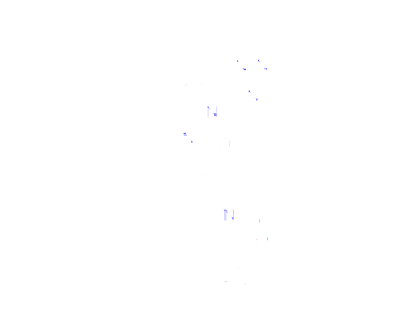 CC(C)n1cnnc1-c1cccc(-n2ccc3ccc(N(C=O)CC(=O)C4CC4)cc3c2=O)n1